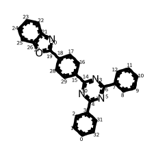 c1ccc(-c2nc(-c3ccccc3)nc(-c3ccc(-c4nc5ccccc5o4)cc3)n2)cc1